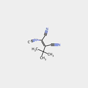 [C-]#[N+]/C(C#N)=C(/C#N)C(C)(C)C